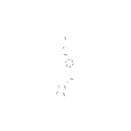 C=C/C=N\C(=C/C=C)C(C)(C)C(=O)NCc1ccc2c(c1)CCN(C1CCC(=O)NC1=O)C2=O